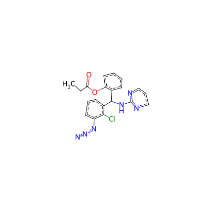 CCC(=O)Oc1ccccc1C(Nc1ncccn1)c1cccc(N=[N+]=[N-])c1Cl